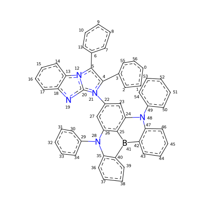 c1ccc(-c2c(-c3ccccc3)n3c4ccccc4nc3n2-c2cc3c4c(c2)N(c2ccccc2)c2ccccc2B4c2ccccc2N3c2ccccc2)cc1